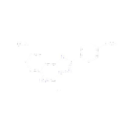 COc1ccc(-c2nc3c4cc(OC)ccc4[nH]c(=O)n3n2)cc1